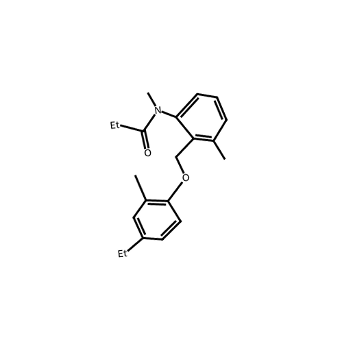 CCC(=O)N(C)c1cccc(C)c1COc1ccc(CC)cc1C